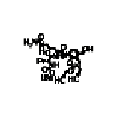 C#CCOC(=O)N(CC#C)Cc1cc(NC(=O)[C@H](CCCNC(N)=O)NC(=O)[C@@H](NC(=O)OC(C)(C)C)C(C)C)ccc1CO